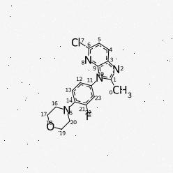 Cc1nc2ccc(Cl)nc2n1-c1ccc(N2CCOCC2)c(F)c1